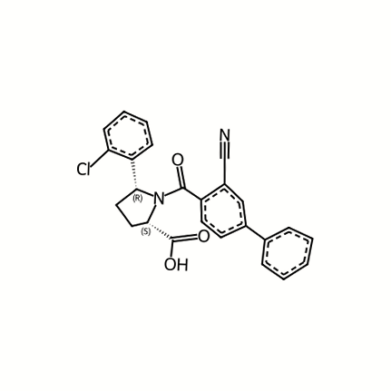 N#Cc1cc(-c2ccccc2)ccc1C(=O)N1[C@@H](c2ccccc2Cl)CC[C@H]1C(=O)O